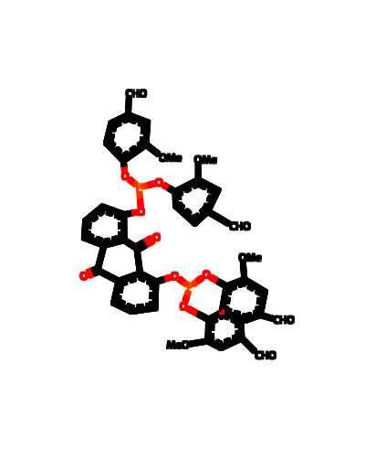 COc1cc(C=O)ccc1OP(Oc1ccc(C=O)cc1OC)Oc1cccc2c1C(=O)c1c(OP(Oc3ccc(C=O)cc3OC)Oc3ccc(C=O)cc3OC)cccc1C2=O